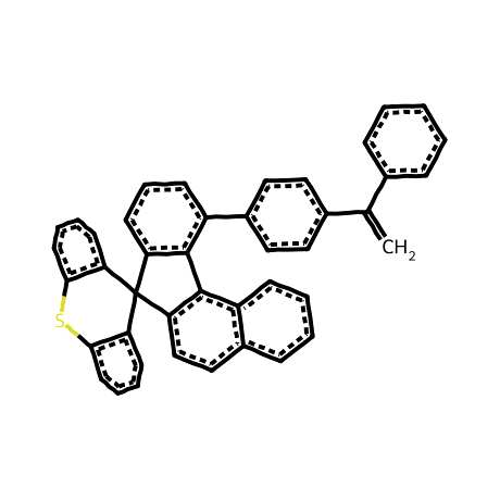 C=C(c1ccccc1)c1ccc(-c2cccc3c2-c2c(ccc4ccccc24)C32c3ccccc3Sc3ccccc32)cc1